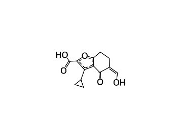 O=C(O)c1oc2c(c1C1CC1)C(=O)C(=CO)CC2